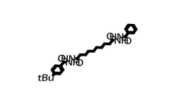 CC(C)(C)c1ccc(C(=O)NNC(=O)CCCCCCCCC(=O)NNC(=O)c2ccccc2)cc1